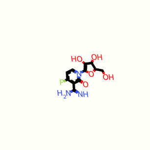 N=C(N)c1c(F)ccn(C2=C(O)C(O)C(CO)O2)c1=O